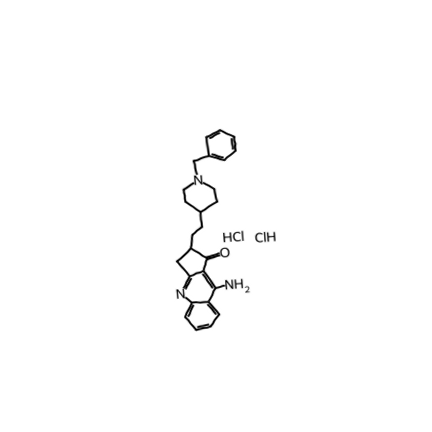 Cl.Cl.Nc1c2c(nc3ccccc13)CC(CCC1CCN(Cc3ccccc3)CC1)C2=O